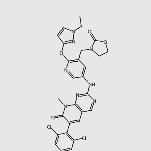 CCn1ccc(Oc2ncc(Nc3ncc4cc(-c5c(Cl)cccc5Cl)c(=O)n(C)c4n3)cc2CN2CCOC2=O)n1